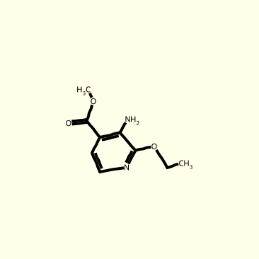 CCOc1nccc(C(=O)OC)c1N